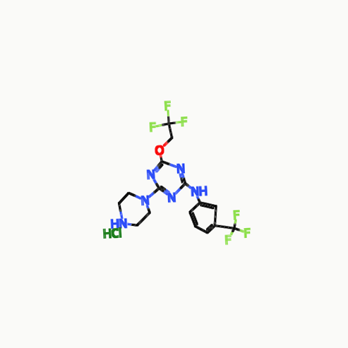 Cl.FC(F)(F)COc1nc(Nc2cccc(C(F)(F)F)c2)nc(N2CCNCC2)n1